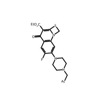 CCOC(=O)c1c2n(c3cc(N4CCN(CC(C)=O)CC4)c(F)cc3c1=O)CS2